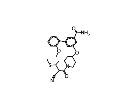 COc1ccccc1-c1cc(OC2CCN(C(=O)C(C#N)C(C)SC)CC2)cc(C(N)=O)c1